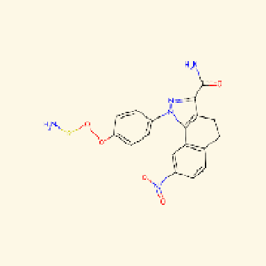 NSOOc1ccc(-n2nc(C(N)=O)c3c2-c2cc([N+](=O)[O-])ccc2CC3)cc1